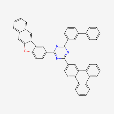 c1ccc(-c2cccc(-c3nc(-c4ccc5oc6cc7ccccc7cc6c5c4)nc(-c4ccc5c6ccccc6c6ccccc6c5c4)n3)c2)cc1